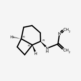 C=NC(=C)N[C@@H]1CCC[C@@H]2CC[C@H]21